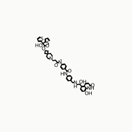 CN(C(=O)CCN1CCC2(CC1)CC(OC(=O)C(O)(c1cccs1)c1cccs1)C2)c1ccc(C(=O)Nc2ccc(CNC[C@H](O)c3ccc(O)c4[nH]c(=O)ccc34)cc2)cc1